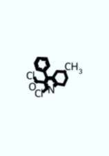 CC1CCc2nc(Cl)c(C(=O)Cl)c(-c3ccccc3)c2C1